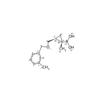 Cc1cccc(COC[C@H]2C[C@]2(C)B(O)O)c1